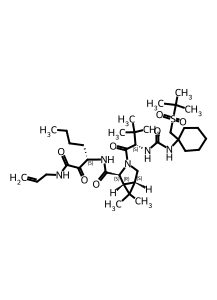 C=CCNC(=O)C(=O)[C@H](CCCC)NC(=O)[C@@H]1[C@@H]2[C@H](CN1C(=O)[C@@H](NC(=O)NC1(CS(=O)(=O)C(C)(C)C)CCCCC1)C(C)(C)C)C2(C)C